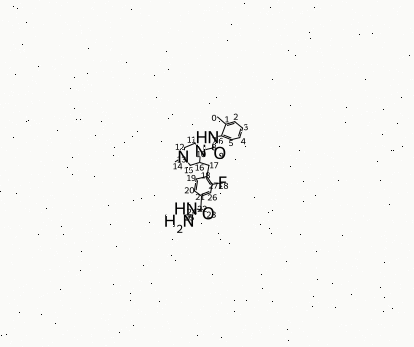 Cc1ccccc1NC(=O)N1CCN(C)CC1Cc1ccc(C(=O)NN)cc1F